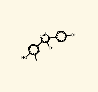 CCc1c(-c2ccc(O)cc2)noc1-c1ccc(O)c(C)c1